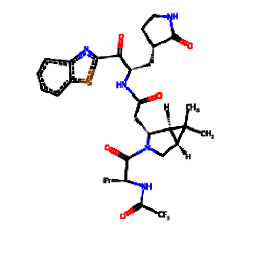 CC(C)[C@H](NC(=O)C(F)(F)F)C(=O)N1C[C@H]2[C@@H]([C@H]1CC(=O)N[C@@H](C[C@@H]1CCNC1=O)C(=O)c1nc3ccccc3s1)C2(C)C